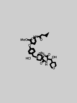 CCCCN1C(=O)[C@@H]([C@H](O)C2CCOCC2)NC(=O)C12CCN(Cc1ccc(Oc3ccc(NC(=O)CC4CC4)cc3OC)cc1)CC2.Cl